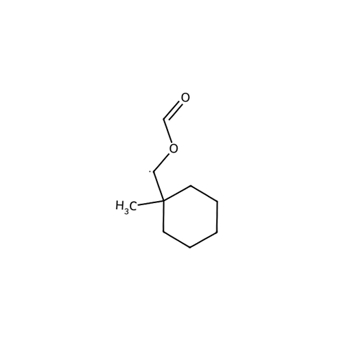 CC1([CH]OC=O)CCCCC1